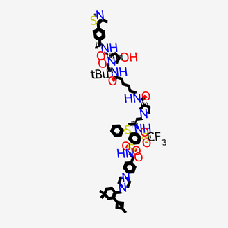 Cc1ncsc1-c1ccc([C@H](C)NC(=O)[C@@H]2C[C@@H](O)CN2C(=O)[C@@H](NC(=O)CCCCCNC(=O)[C@@H]2CCN(CC[C@H](CSc3ccccc3)Nc3ccc(S(=O)(=O)NC(=O)c4ccc(N5CCN(CC6=C(C78CC(C)(C7)C8)CC(C)(C)CC6)CC5)cc4)cc3S(=O)(=O)C(F)(F)F)C2)C(C)(C)C)cc1